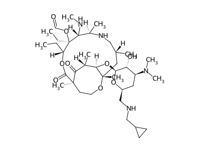 CC[C@H]1OC(=O)[C@]2(C)CCO[C@@](C)(C[C@@H](C)CN[C@H](C)[C@@H](NC)[C@]1(CC)OC=O)[C@H](O[C@@H]1O[C@H](CNCC3CC3)C[C@H](N(C)C)[C@H]1O)[C@@H](C)C2=O